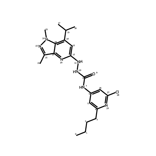 CCCCc1cc(NC(=O)NNc2cc(C(C)C)c3c(n2)c(C)nn3C)cc(Cl)n1